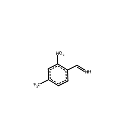 N=Cc1ccc(C(F)(F)F)cc1[N+](=O)[O-]